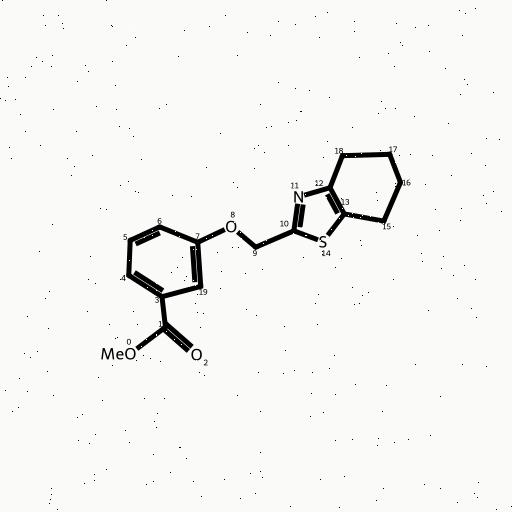 COC(=O)c1cccc(OCc2nc3c(s2)CCCC3)c1